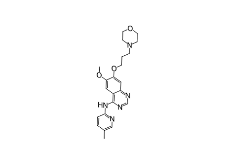 COc1cc2c(Nc3ccc(C)cn3)ncnc2cc1OCCCN1CCOCC1